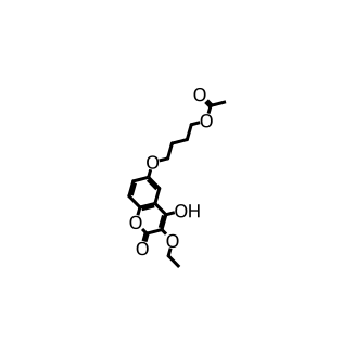 CCOc1c(O)c2cc(OCCCCOC(C)=O)ccc2oc1=O